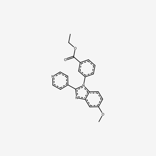 CCOC(=O)c1cccc(-n2c(-c3ccncc3)nc3cc(OC)ccc32)c1